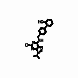 CC(C)n1cnc2c(NCc3ccc(-c4ccccc4O)cc3)nc(Cl)nc21